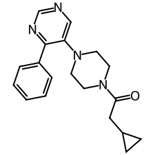 O=C(CC1CC1)N1CCN(c2cncnc2-c2ccccc2)CC1